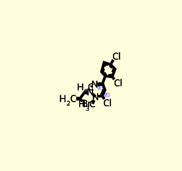 C=C(Br)/C=N\N(C)/C(Cl)=C\C(=N/C)c1ccc(Cl)cc1Cl